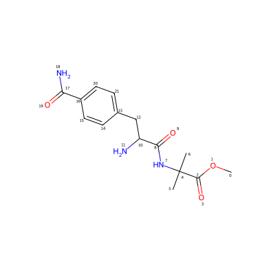 COC(=O)C(C)(C)NC(=O)C(N)Cc1ccc(C(N)=O)cc1